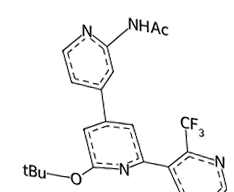 CC(=O)Nc1cc(-c2cc(OC(C)(C)C)nc(-c3cccnc3C(F)(F)F)c2)ccn1